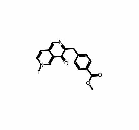 COC(=O)c1ccc(Cc2ncc3ccn(I)cc-3c2=O)cc1